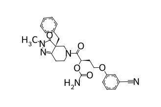 CN1N=C2CCN(C(=O)[C@@H](CCOc3cccc(C#N)c3)OC(N)=O)C[C@@]2(Cc2ccccc2)C1=O